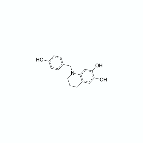 Oc1ccc(CN2CCCc3cc(O)c(O)cc32)cc1